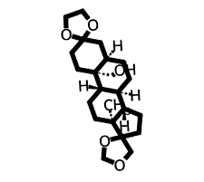 C[C@]12CC[C@H]3[C@@H](CC[C@@H]4CC5(CC[C@@]43CO)OCCO5)[C@@H]1CCC21COCO1